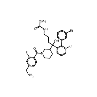 CCc1cccc(-c2c(Cl)cccc2C(O)(CCCNC(=O)OC)C2CCCN(C(=O)c3ccc(CN)cc3F)C2)c1